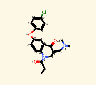 CCC(=O)N1C/C(=C/N(C)C)C(=O)c2cc(Oc3ccc(Cl)cc3)ccc21